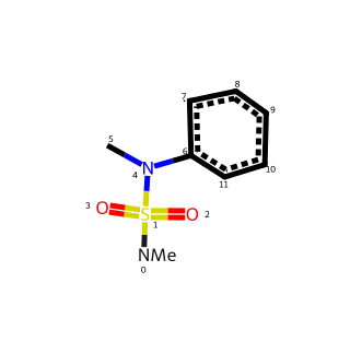 CNS(=O)(=O)N(C)c1[c]cccc1